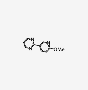 COc1ccc(-c2ncccn2)cn1